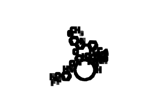 COc1ccc2c(O[C@@H]3C[C@H]4C(=O)N[C@]5(C(=O)NS(=O)(=O)C6(C)CC6)C[C@H]5CCCCCCC[C@H](Nc5cccc(OC(F)(F)F)c5)C(=O)N4C3)cc(-c3ccccc3)nc2c1